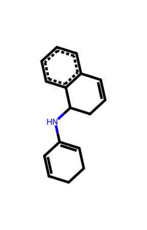 C1=CC(NC2CC=Cc3ccccc32)=CCC1